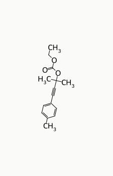 CCOC(=O)OC(C)(C)C#Cc1ccc(C)cc1